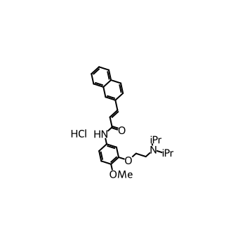 COc1ccc(NC(=O)C=Cc2ccc3ccccc3c2)cc1OCCN(C(C)C)C(C)C.Cl